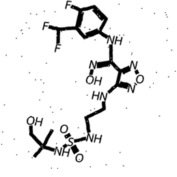 CC(C)(CO)NS(=O)(=O)NCCNc1nonc1C(=NO)Nc1ccc(F)c(C(F)F)c1